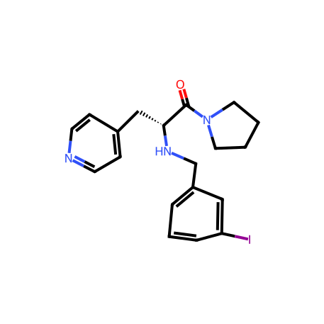 O=C([C@@H](Cc1ccncc1)NCc1cccc(I)c1)N1CCCC1